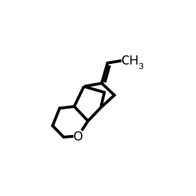 C/C=C1\CC2CC1C1CCCOC21